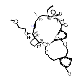 CC[C@@H]1C[C@@H](C)/C=C/[C@H](OCCOC)[C@@H]2CC[C@H]2CN2CCCCc3cc(Cl)ccc3COc3ccc(cc32)C(=O)NS1(=O)=O